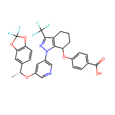 C[C@@H](Oc1cncc(-n2nc(C(F)(F)F)c3c2C(Oc2ccc(C(=O)O)cc2)CCC3)c1)c1ccc2c(c1)OC(F)(F)O2